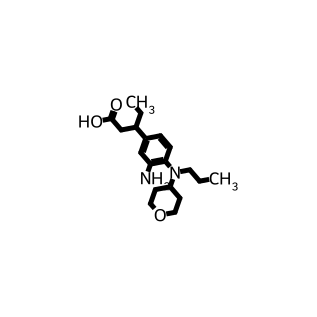 CCCN(c1ccc(C(CC)CC(=O)O)cc1N)C1CCOCC1